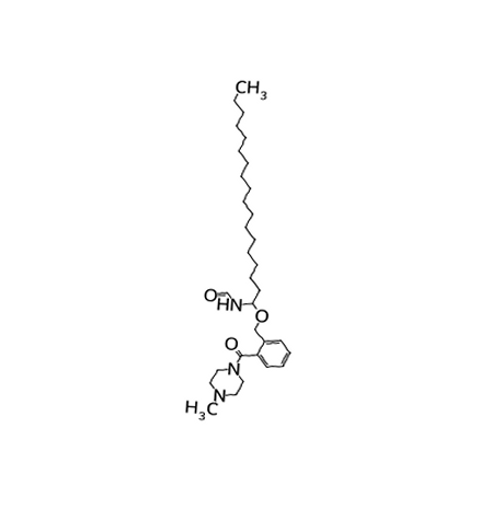 CCCCCCCCCCCCCCCCCC(NC=O)OCc1ccccc1C(=O)N1CCN(C)CC1